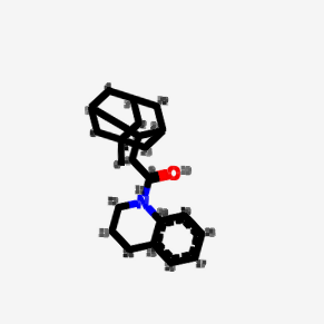 CC12CC3CC(C1)C(CC(=O)N1CCCc4ccccc41)C(C3)C2